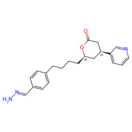 NN=Cc1ccc(CCCC[C@@H]2C[C@H](c3cccnc3)CC(=O)O2)cc1